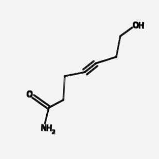 NC(=O)CCC#CCCO